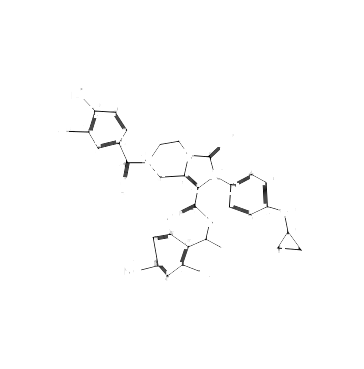 CC(NC(=O)c1c2n(c(=O)n1-c1ccc(OC3CC3)cc1)CCN(C(=O)c1ccc(Br)c(Cl)c1)C2)c1ccc(C#N)cc1F